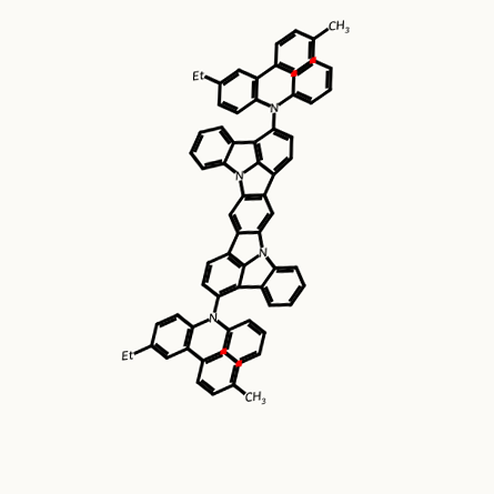 CCc1ccc(N(c2ccccc2)c2ccc3c4cc5c(cc4n4c6ccccc6c2c34)c2ccc(N(c3ccccc3)c3ccc(CC)cc3-c3ccc(C)cc3)c3c4ccccc4n5c23)c(-c2ccc(C)cc2)c1